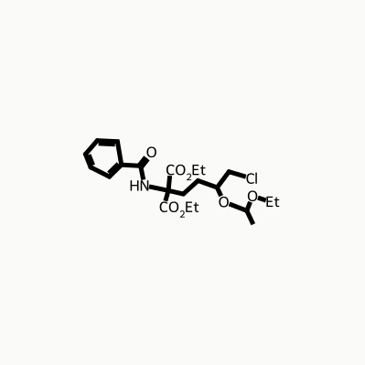 CCOC(=O)C(CCC(CCl)OC(C)OCC)(NC(=O)c1ccccc1)C(=O)OCC